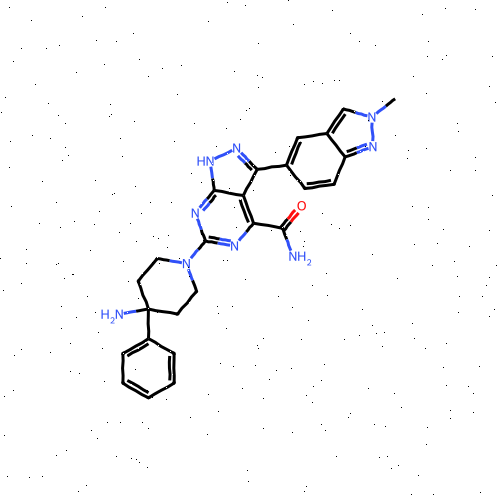 Cn1cc2cc(-c3n[nH]c4nc(N5CCC(N)(c6ccccc6)CC5)nc(C(N)=O)c34)ccc2n1